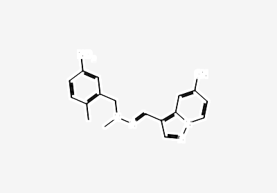 Cc1ccc([N+](=O)[O-])cc1CN(C)/N=C/c1cnn2ccc(C#N)cc12